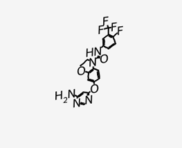 Nc1cc(Oc2ccc3c(c2)OCCN3C(=O)Nc2ccc(F)c(C(F)(F)F)c2)ncn1